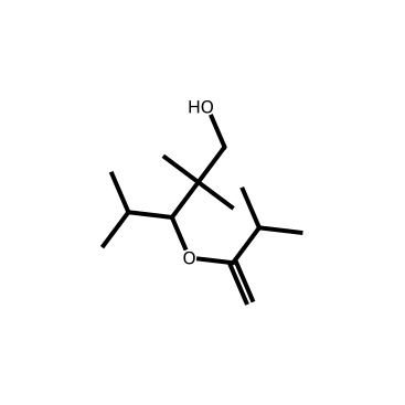 C=C(OC(C(C)C)C(C)(C)CO)C(C)C